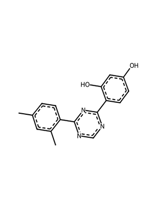 Cc1ccc(-c2ncnc(-c3ccc(O)cc3O)n2)c(C)c1